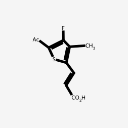 CC(=O)c1sc(C=CC(=O)O)c(C)c1F